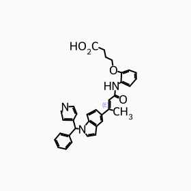 C/C(=C\C(=O)Nc1ccccc1OCCCC(=O)O)c1ccc2c(ccn2C(c2ccccc2)c2ccncc2)c1